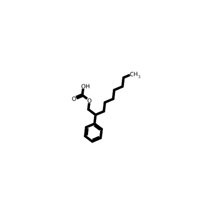 CCCCCCCC(COC(=O)O)c1ccccc1